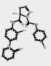 C[C@]1(C(=O)Nc2ccc(-n3ccccc3=O)cc2F)CC=NN1C(=O)Nc1ccc(Cl)cc1